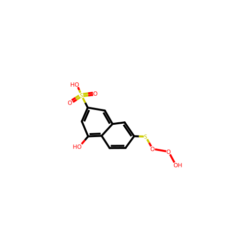 O=S(=O)(O)c1cc(O)c2ccc(SOOO)cc2c1